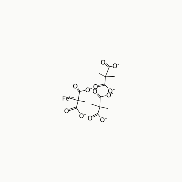 CC(C)(C(=O)[O-])C(=O)[O-].CC(C)(C(=O)[O-])C(=O)[O-].CC(C)(C(=O)[O-])C(=O)[O-].[Fe+6]